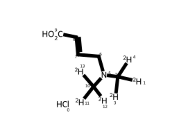 Cl.[2H]C([2H])([2H])N(CC=CC(=O)O)C([2H])([2H])[2H]